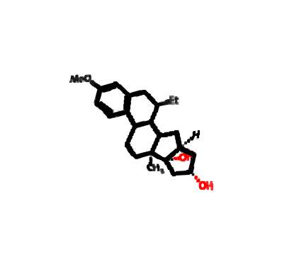 CC[C@@H]1Cc2cc(OC)ccc2C2CC[C@@]3(C)C(C[C@H]4C[C@H](O)C[C@]43O)C21